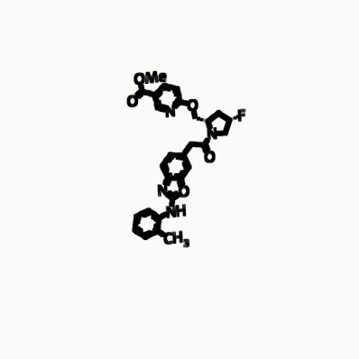 COC(=O)c1ccc(OC[C@@H]2C[C@H](F)CN2C(=O)Cc2ccc3nc(Nc4ccccc4C)oc3c2)nc1